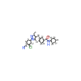 Cc1nn(-c2ccc(C#N)c(Cl)c2)c(C)c1Cc1cccc(C(=O)Nc2ccccc2)c1